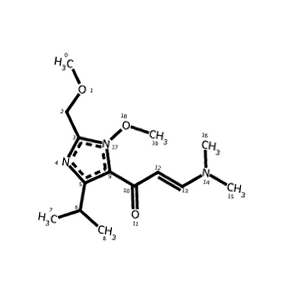 COCc1nc(C(C)C)c(C(=O)C=CN(C)C)n1OC